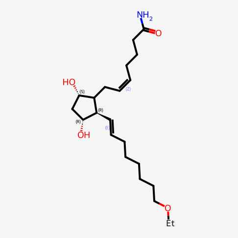 CCOCCCCCC/C=C/[C@@H]1C(C/C=C\CCCC(N)=O)[C@@H](O)C[C@H]1O